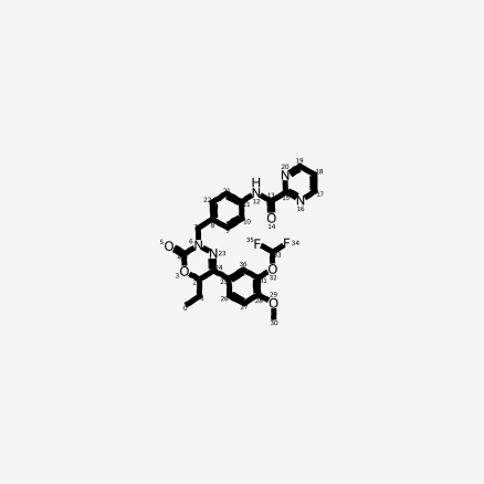 CCC1OC(=O)N(Cc2ccc(NC(=O)c3ncccn3)cc2)N=C1c1ccc(OC)c(OC(F)F)c1